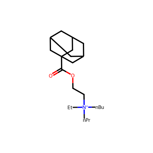 CCCC[N+](CC)(CCC)CCOC(=O)C12CC3CC(CC(C3)C1)C2